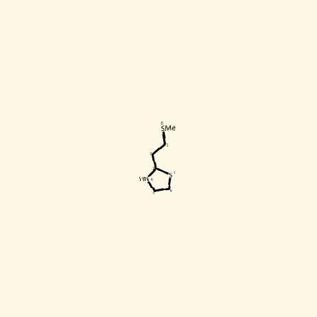 CSCCC1NCCS1